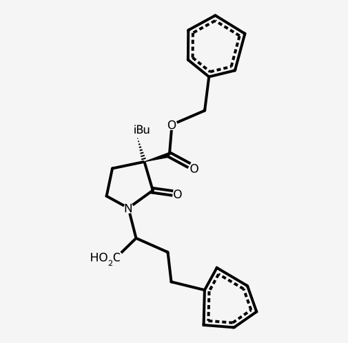 CC[C@@H](C)[C@@]1(C(=O)OCc2ccccc2)CCN(C(CCc2ccccc2)C(=O)O)C1=O